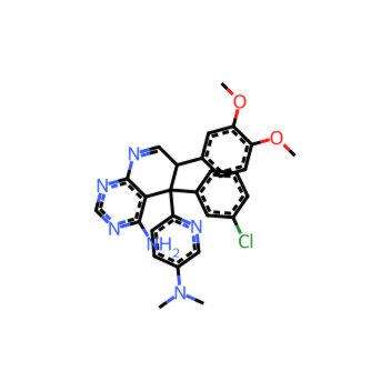 COc1ccc(C2C=Nc3ncnc(N)c3C2(c2cccc(Cl)c2)c2ccc(N(C)C)cn2)cc1OC